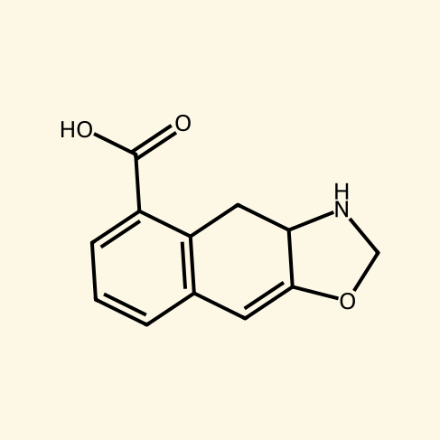 O=C(O)c1cccc2c1CC1NCOC1=C2